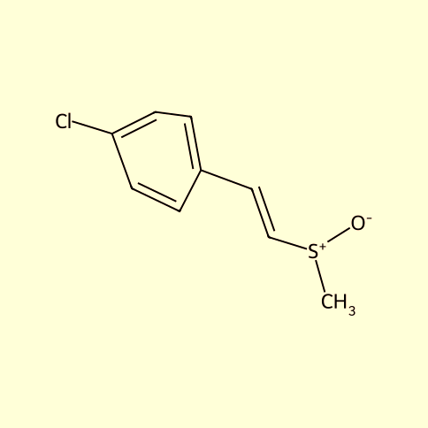 C[S+]([O-])/C=C/c1ccc(Cl)cc1